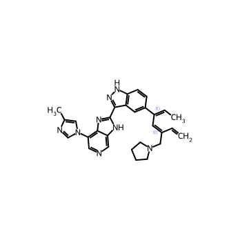 C=C/C(=C\C(=C/C)c1ccc2[nH]nc(-c3nc4c(-n5cnc(C)c5)cncc4[nH]3)c2c1)CN1CCCC1